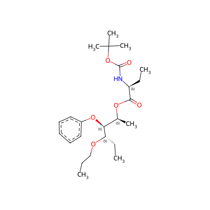 CCCO[C@@H](CC)[C@@H](Oc1ccccc1)[C@H](C)OC(=O)[C@H](CC)NC(=O)OC(C)(C)C